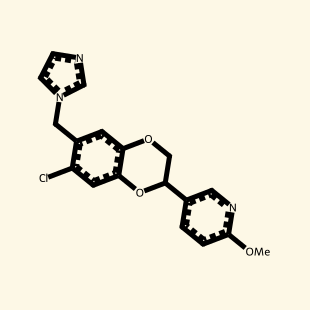 COc1ccc(C2COc3cc(Cn4ccnc4)c(Cl)cc3O2)cn1